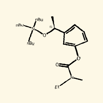 CCCC[Si](CCCC)(CCCC)O[C@@H](C)c1cccc(OC(=O)N(C)CC)c1